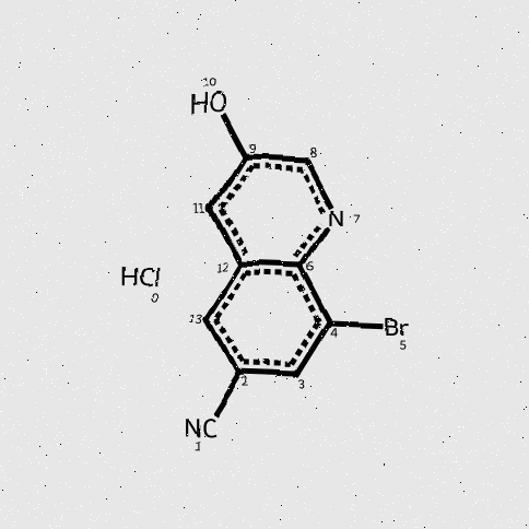 Cl.N#Cc1cc(Br)c2ncc(O)cc2c1